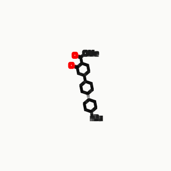 CCCC[C@H]1CC[C@H](C2CCC(C3CCC(C(=O)OC)C(=O)C3)CC2)CC1